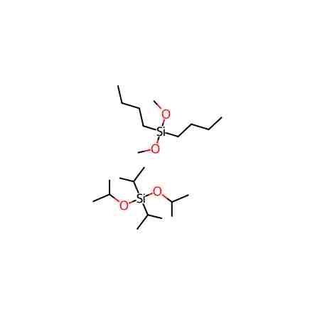 CC(C)O[Si](OC(C)C)(C(C)C)C(C)C.CCCC[Si](CCCC)(OC)OC